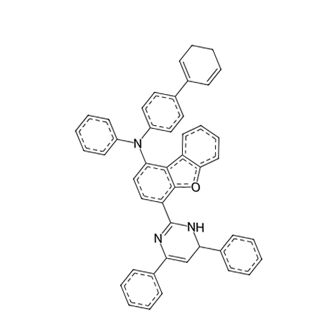 C1=CC(c2ccc(N(c3ccccc3)c3ccc(C4=NC(c5ccccc5)=CC(c5ccccc5)N4)c4oc5ccccc5c34)cc2)=CCC1